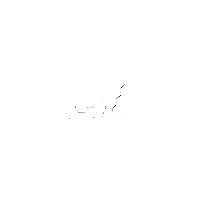 CC(=O)O[C@H]1C[C@@]2(C)[C@@H](C[C@@H](O)[C@H]3[C@@]4(C)CC[C@@H](O)[C@@H](CN)[C@@H]4CC[C@@]32C)/C1=C(\C=C\C=C(C)C)C(=O)O